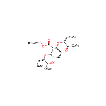 C#CCOC(=O)c1c(OC(=COC)C(=O)OC)cccc1OC(=COC)C(=O)OC